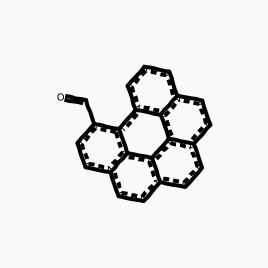 O=Cc1ccc2ccc3ccc4ccc5cccc6c1c2c3c4c56